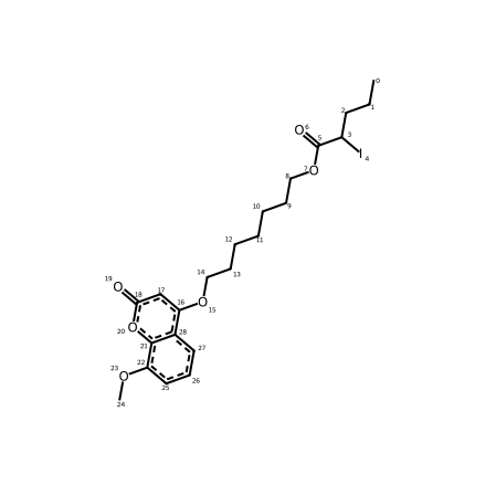 CCCC(I)C(=O)OCCCCCCCOc1cc(=O)oc2c(OC)cccc12